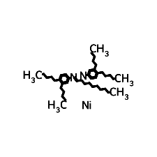 CCCCCCCCC(C=Nc1ccc(CCCCC)c(CCCCC)c1)=Nc1ccc(CCCCC)c(CCCCC)c1.[Ni]